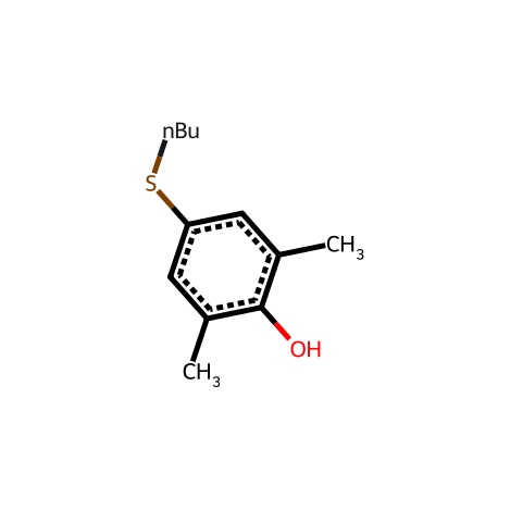 CCCCSc1cc(C)c(O)c(C)c1